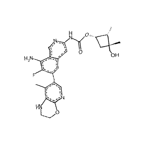 Cc1c(-c2cc3cc(NC(=O)O[C@H]4C[C@@](C)(O)[C@H]4C)ncc3c(N)c2F)cnc2c1NCCO2